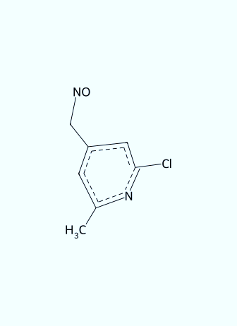 Cc1cc(CN=O)cc(Cl)n1